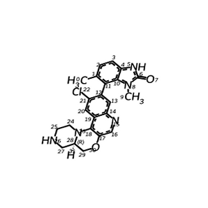 Cc1ccc2[nH]c(=O)n(C)c2c1-c1cc2ncc3c(c2cc1Cl)N1CCNC[C@@H]1CO3